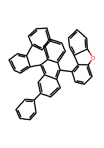 c1ccc(-c2ccc3c(-c4cccc5oc6ccccc6c45)c4ccccc4c(-c4ccccc4-c4ccccc4)c3c2)cc1